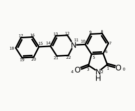 O=C1NC(=O)c2c1cccc2N1CC=C(c2ccccc2)CC1